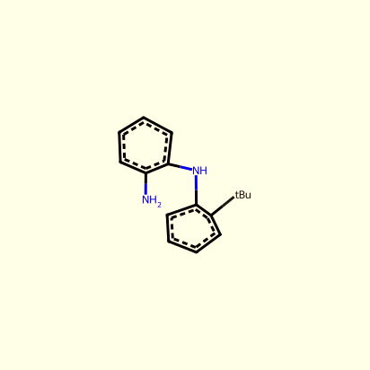 CC(C)(C)c1ccccc1Nc1ccccc1N